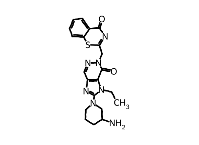 CCn1c(N2CCCC(N)C2)nc2cnn(Cc3nc(=O)c4ccccc4s3)c(=O)c21